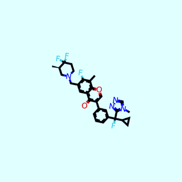 Cc1c(F)c(CN2CCC(F)(F)[C@H](C)C2)cc2c(=O)c(-c3cccc(C(F)(c4nncn4C)C4CC4)c3)coc12